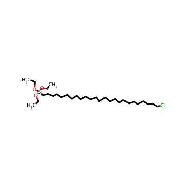 CCO[Si](CCCCCCCCCCCCCCCCCCCCCCCCCCl)(OCC)OCC